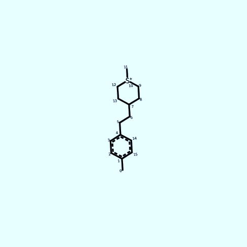 Cc1ccc(CCC2CC[S+](C)CC2)cc1